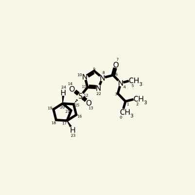 CC(C)CN(C)C(=O)n1cnc(S(=O)(=O)[C@@H]2C[C@@H]3CC[C@H]2C3)n1